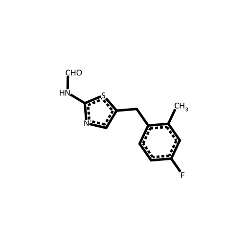 Cc1cc(F)ccc1Cc1cnc(NC=O)s1